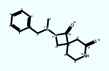 CB(Cc1ccccc1)N1CC2(CCNC(=S)C2)C1=O